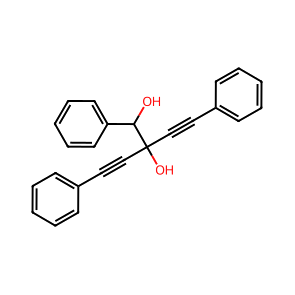 OC(c1ccccc1)C(O)(C#Cc1ccccc1)C#Cc1ccccc1